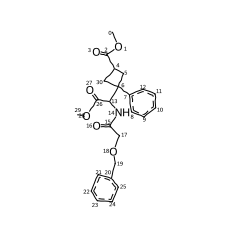 COC(=O)C1CC(c2ccccc2)(C(NC(=O)COCc2ccccc2)C(=O)OC)C1